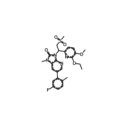 CCOc1nc(C(CS(C)(=O)=O)n2c(=O)n(C)c3cc(-c4cc(F)ccc4C)cnc32)ccc1OC